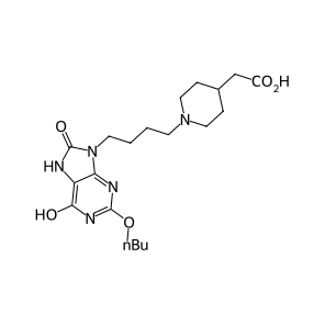 CCCCOc1nc(O)c2[nH]c(=O)n(CCCCN3CCC(CC(=O)O)CC3)c2n1